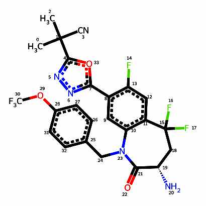 CC(C)(C#N)c1nnc(-c2cc3c(cc2F)C(F)(F)C[C@H](N)C(=O)N3Cc2ccc(OC(F)(F)F)cc2)o1